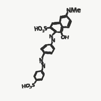 CNc1ccc2c(O)c(/N=N/c3ccc(/N=N/c4ccc(S(=O)(=O)O)cc4)cc3)c(S(=O)(=O)O)cc2c1